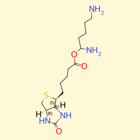 NCCCCC(N)OC(=O)CCCC[C@@H]1SC[C@@H]2NC(=O)N[C@@H]21